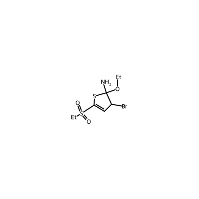 CCOC1(N)SC(S(=O)(=O)CC)=CC1Br